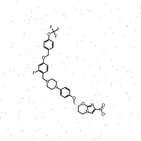 O=[N+]([O-])c1cn2c(n1)O[C@@H](COc1ccc(N3CCN(Cc4ccc(OCc5ccc(OC(F)(F)F)cc5)cc4F)CC3)cc1)CC2